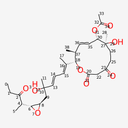 CCC(=O)C(C)[C@H]1O[C@@H]1CC(C)(O)/C=C/C=C(\C)[C@H]1OC(=O)CC(=O)CC[C@](C)(O)[C@@H](OC(C)=O)/C=C/[C@@H]1C